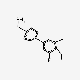 CCc1c(F)cc(-c2ccc(CP)cc2)cc1F